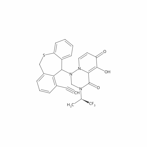 C#Cc1cccc2c1C(N1CN([C@H](C)C(F)(F)F)C(=O)c3c(O)c(=O)ccn31)c1ccccc1SC2